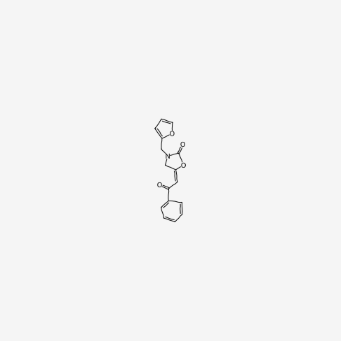 O=C(C=C1CN(Cc2ccco2)C(=O)O1)c1ccccc1